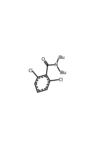 CCC(C)N(C(=O)c1c(Cl)cccc1Cl)C(C)CC